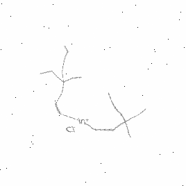 CC(C)(C)[CH2][In+][CH2]C(C)(C)C.[Cl-]